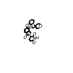 CC1(CNC2CCCCC2Oc2ccc3c(c2)CN(C2CCC(=O)NC2=O)C3=O)CCOCC1